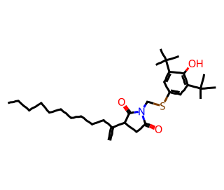 C=C(CCCCCCCCCC)C1CC(=O)N(CSc2cc(C(C)(C)C)c(O)c(C(C)(C)C)c2)C1=O